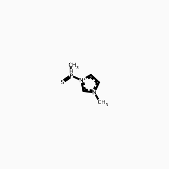 Cn1cc[n+]([PH](C)=S)c1